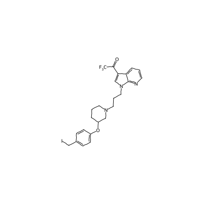 O=C(c1cn(CCCN2CCCC(Oc3ccc(CI)cc3)C2)c2ncccc12)C(F)(F)F